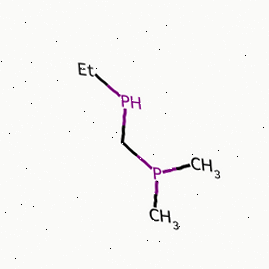 CCPCP(C)C